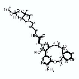 C[C@H]1Oc2cc(cnc2N)-c2c(nn(CC(=O)NCCCN3C[C@H](NC(=O)OC(C)(C)C)C(C)(C)C3)c2C#N)CN(C)C(=O)c2ccc(F)cc21